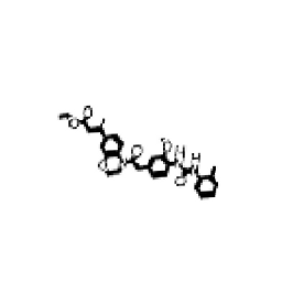 CCOC(=O)C[C@@H](C)c1ccc2c(c1)OCCN2C(=O)Cc1ccc(NC(=O)Nc2ccccc2C)c(OC)c1